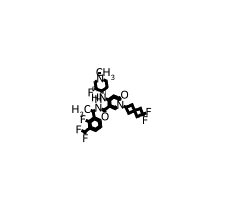 CC(NC(=O)c1cn(C2CC3(C2)CC(F)(F)C3)c(=O)cc1N[C@H]1CCN(C)C[C@H]1F)c1cccc(C(F)F)c1F